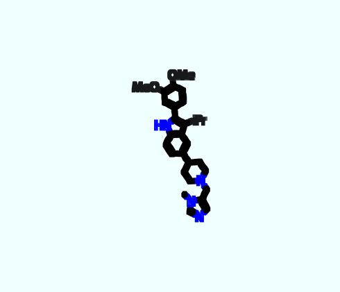 COc1ccc(-c2[nH]c3ccc(C4CCN(Cc5cncn5C)CC4)cc3c2C(C)C)cc1OC